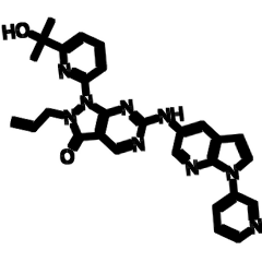 C=CCn1c(=O)c2cnc(Nc3cnc4c(ccn4-c4cccnc4)c3)nc2n1-c1cccc(C(C)(C)O)n1